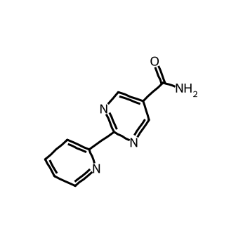 NC(=O)c1cnc(-c2ccccn2)nc1